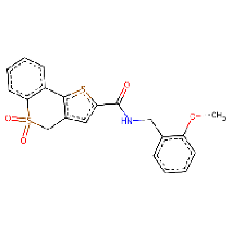 COc1ccccc1CNC(=O)c1cc2c(s1)-c1ccccc1S(=O)(=O)C2